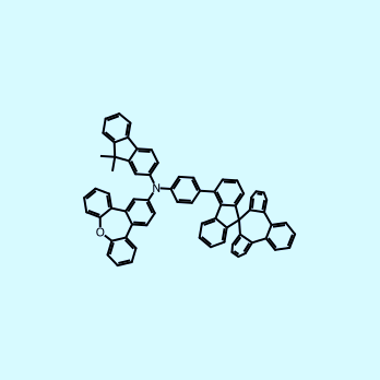 CC1(C)c2ccccc2-c2ccc(N(c3ccc(-c4cccc5c4-c4ccccc4C54c5ccccc5-c5ccccc5-c5ccccc54)cc3)c3ccc4c(c3)-c3ccccc3Oc3ccccc3-4)cc21